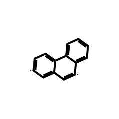 [c]1ccc2c(c1)c[c]c1ccccc12